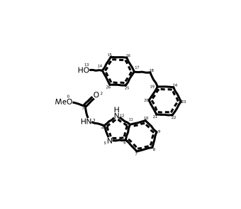 COC(=O)Nc1nc2ccccc2[nH]1.Oc1ccc(Cc2ccccc2)cc1